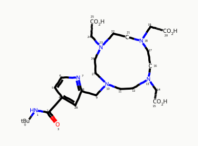 CC(C)(C)NC(=O)c1ccnc(CN2CCN(CC(=O)O)CCN(CC(=O)O)CCN(CC(=O)O)CC2)c1